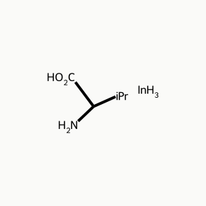 CC(C)C(N)C(=O)O.[InH3]